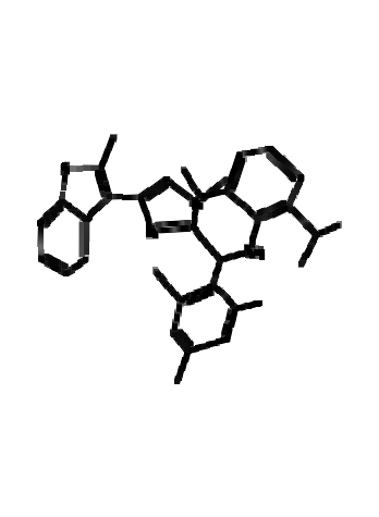 Cc1cc(C)c(C(Nc2c(C(C)C)cccc2C(C)C)c2nc(-c3c(C)sc4ccccc34)cn2C)c(C)c1